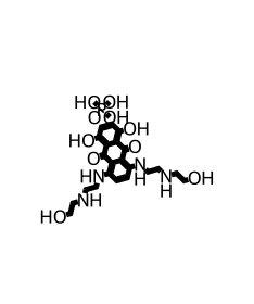 O=C1c2c(O)ccc(O)c2C(=O)c2c(NCCNCCO)ccc(NCCNCCO)c21.O=P(O)(O)O